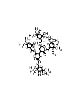 CC1(C)CC(COC(=O)CC(C(=O)OCC2CC(C)(C)NC2(C)C)C(CC(=O)OCC2CC(C)(C)NC2(C)C)C(=O)OCC2CC(C)(C)NC2(C)C)C(C)(C)N1